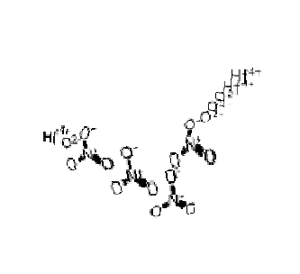 O=[N+]([O-])[O-].O=[N+]([O-])[O-].O=[N+]([O-])[O-].O=[N+]([O-])[O-].[Hf+4].[Hf+4].[Hf+4].[O-2].[O-2].[O-2].[O-2]